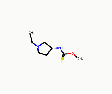 CCN1CC[C@H](NC(=S)OC)C1